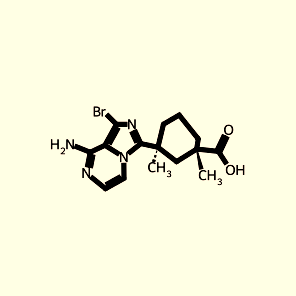 C[C@]1(C(=O)O)CCC[C@](C)(c2nc(Br)c3c(N)nccn23)C1